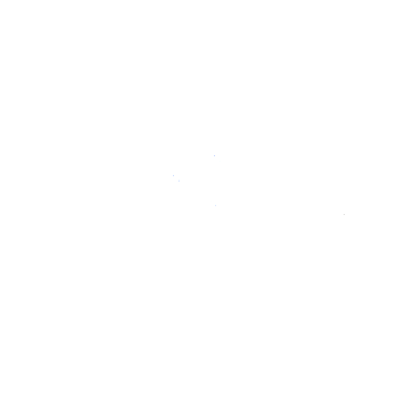 CC1(C)Oc2ccc(-c3nc(-c4cccc(-c5ccccc5)c4)nc(-c4cc(-c5ccccc5)cc(-c5ccccc5)c4)n3)cc2-c2ccccc21